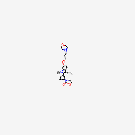 CCn1c(-c2cccc(N3CCOC3=O)c2)c(C#N)c2ccc(OCCCN3CCOCC3)cc21